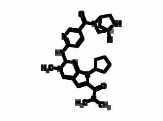 CN(C)C(=O)c1cc2c(n1C1CCCC1)=NC(Nc1ccc(C(=O)N3C[C@@H]4CC3CN4)cn1)N(C)C=2